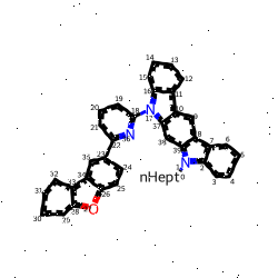 CCCCCCCn1c2ccccc2c2cc3c4ccccc4n(-c4cccc(-c5ccc6oc7ccccc7c6c5)n4)c3cc21